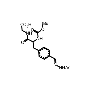 CC(=O)N/N=C/c1ccc(CC(NC(=O)OC(C)(C)C)C(=O)NCC(=O)O)cc1